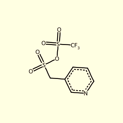 O=S(=O)(Cc1cccnc1)OS(=O)(=O)C(F)(F)F